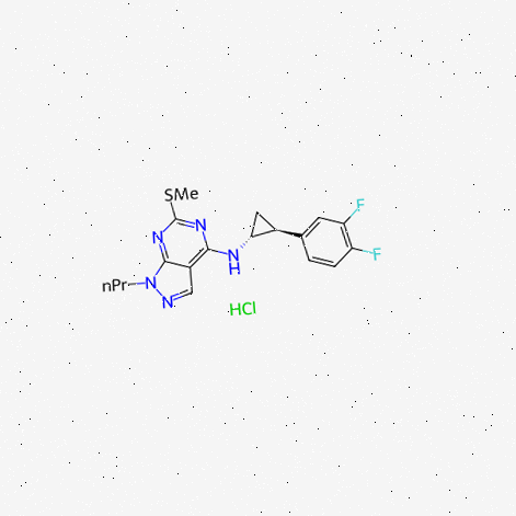 CCCn1ncc2c(N[C@@H]3C[C@H]3c3ccc(F)c(F)c3)nc(SC)nc21.Cl